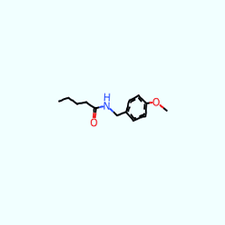 CCCCC(=O)NCc1ccc(OC)cc1